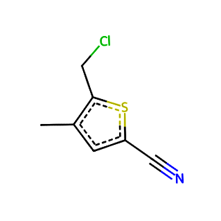 Cc1cc(C#N)sc1CCl